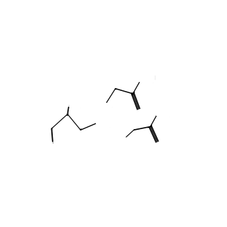 C=C(CC(=O)O)C(=O)O.C=C(CC(=O)O)C(=O)O.O=C(O)CC(CC(=O)O)C(=O)O